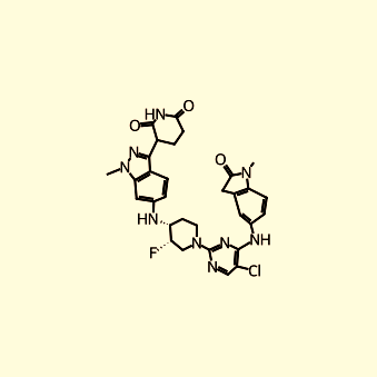 CN1C(=O)Cc2cc(Nc3nc(N4CC[C@@H](Nc5ccc6c(C7CCC(=O)NC7=O)nn(C)c6c5)[C@@H](F)C4)ncc3Cl)ccc21